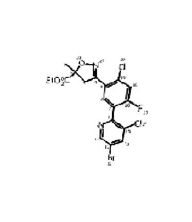 CCOC(=O)C1(C)CC(c2cc(-c3ncc(Br)cc3Cl)c(F)cc2Cl)=NO1